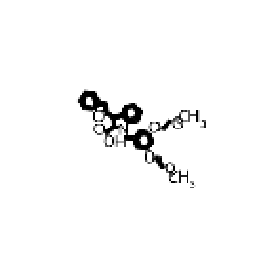 COCCOc1cc(CN2c3ccccc3C(c3cc4ccccc4o3)C2C(=O)O)cc(OCCOC)c1